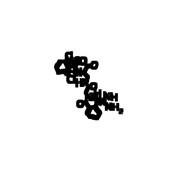 COC(=O)C(CNC(=O)CNC(=O)c1ccccc1NC(=N)N)NC(=O)c1c(Cl)cccc1Cl